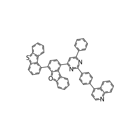 c1ccc(-c2cc(-c3ccc(-c4cccc5sc6ccccc6c45)c4oc5ccccc5c34)nc(-c3ccc(-c4ccnc5ccccc45)cc3)n2)cc1